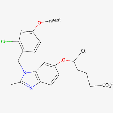 CCCCCOc1ccc(Cn2c(C)nc3ccc(OC(CC)CCCC(=O)O)cc32)c(Cl)c1